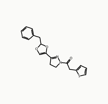 O=C(Cc1cccs1)N1CCC(C2=COC(Cc3ccccc3)O2)=N1